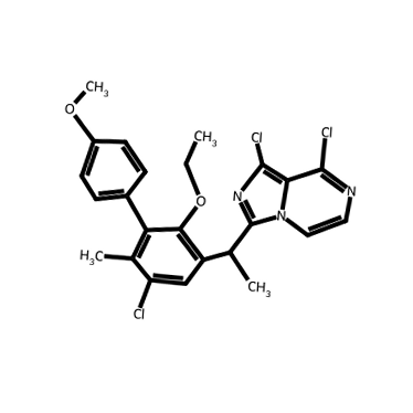 CCOc1c(C(C)c2nc(Cl)c3c(Cl)nccn23)cc(Cl)c(C)c1-c1ccc(OC)cc1